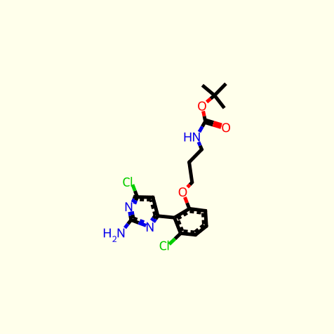 CC(C)(C)OC(=O)NCCCOc1cccc(Cl)c1-c1cc(Cl)nc(N)n1